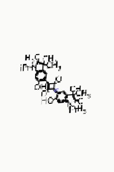 CC(C)N1c2cc(O)c(C3=C([O-])/C(=c4/cc5c(cc4O)=[N+](C(C)C)C(C)C5(C)C)C3=O)cc2C(C)(C)C1C